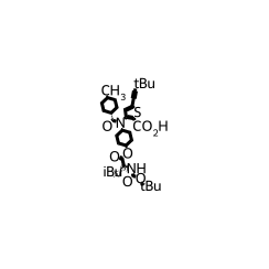 CC[C@H](C)[C@H](NC(=O)OC(C)(C)C)C(=O)O[C@H]1CC[C@H](N(c2cc(C#CC(C)(C)C)sc2C(=O)O)C(=O)[C@H]2CC[C@H](C)CC2)CC1